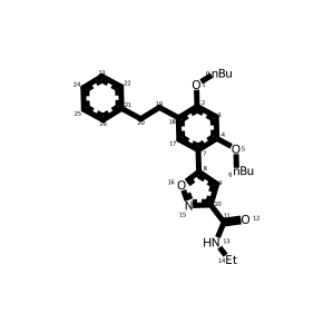 CCCCOc1cc(OCCCC)c(-c2cc(C(=O)NCC)no2)cc1CCc1ccccc1